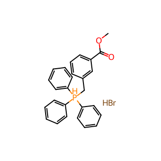 Br.COC(=O)c1cccc(C[PH](c2ccccc2)(c2ccccc2)c2ccccc2)c1